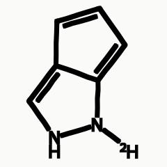 [2H]n1[nH]cc2cccc1-2